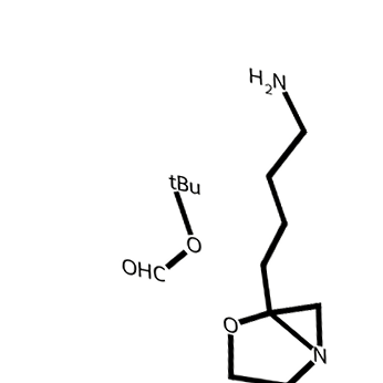 CC(C)(C)OC=O.NCCCCC12CN1CCO2